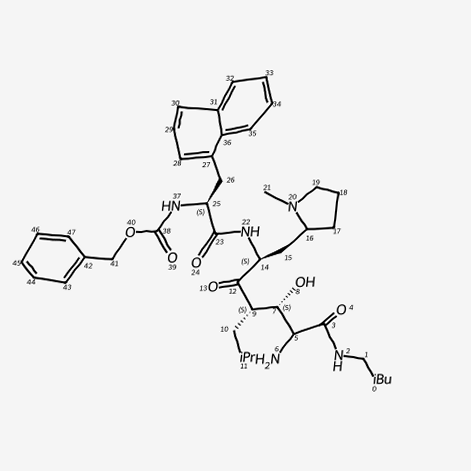 CCC(C)CNC(=O)C(N)[C@@H](O)[C@H](CC(C)C)C(=O)[C@H](CC1CCCN1C)NC(=O)[C@H](Cc1cccc2ccccc12)NC(=O)OCc1ccccc1